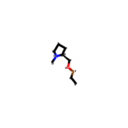 CCSOC[C@@H]1CCCN1C